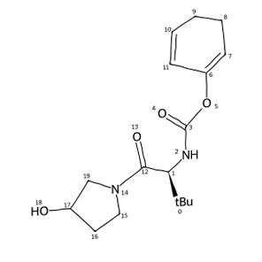 CC(C)(C)[C@H](NC(=O)OC1=CCCC=C1)C(=O)N1CCC(O)C1